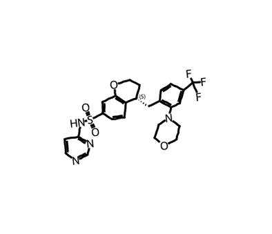 O=S(=O)(Nc1ccncn1)c1ccc2c(c1)OCC[C@@H]2Cc1ccc(C(F)(F)F)cc1N1CCOCC1